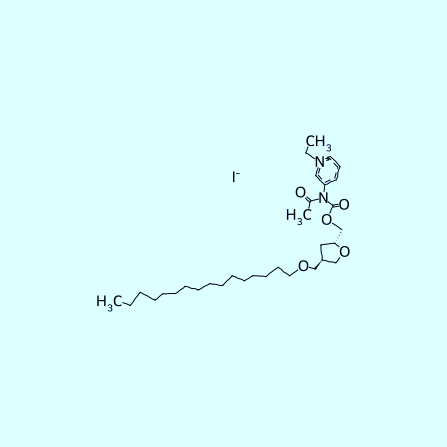 CCCCCCCCCCCCCCCCOC[C@@H]1CO[C@@H](COC(=O)N(C(C)=O)c2ccc[n+](CC)c2)C1.[I-]